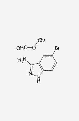 CC(C)(C)OC=O.Nc1n[nH]c2ccc(Br)cc12